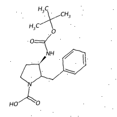 CC(C)(C)OC(=O)N[C@@H]1CCN(C(=O)O)C1Cc1ccccc1